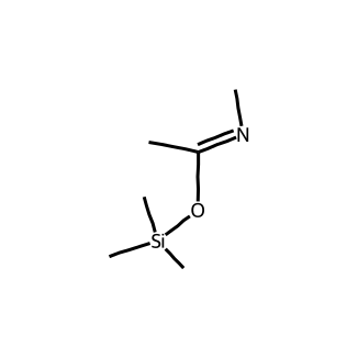 C/N=C(\C)O[Si](C)(C)C